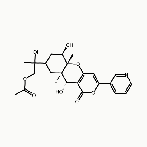 CC(=O)OCC(C)(O)C1C[C@@H](O)[C@]2(C)Oc3cc(-c4cccnc4)oc(=O)c3[C@H](O)[C@H]2C1